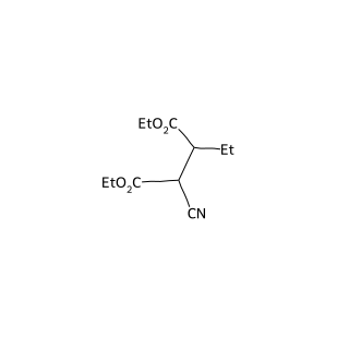 CCOC(=O)C(C#N)C(CC)C(=O)OCC